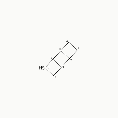 C12C3C4C1C1C2C3[SiH]41